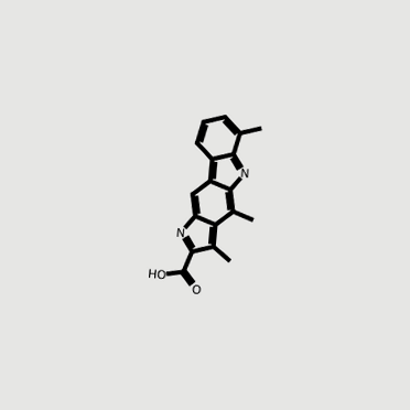 CC1=c2c(cc3c(c2C)N=c2c(C)cccc2=3)N=C1C(=O)O